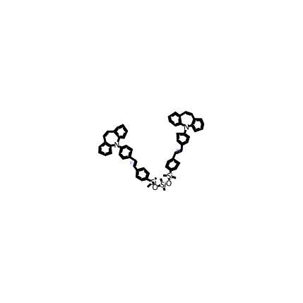 C[Si](C)(O[Si](C)(C)c1ccc(/C=C/c2ccc(N3c4ccccc4C=Cc4ccccc43)cc2)cc1)O[Si](C)(C)c1ccc(/C=C/c2ccc(N3c4ccccc4C=Cc4ccccc43)cc2)cc1